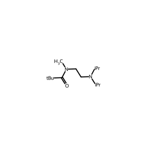 CC(C)N(CCN(C)C(=O)C(C)(C)C)C(C)C